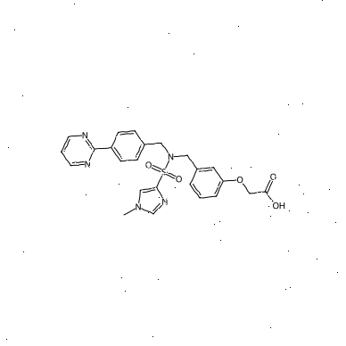 Cn1cnc(S(=O)(=O)N(Cc2ccc(-c3ncccn3)cc2)Cc2cccc(OCC(=O)O)c2)c1